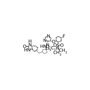 CC(C)N(C)S(=O)(=O)c1cc(F)ccc1Oc1cncnc1N1CCC2(CCC(Cc3ccc4[nH]c(=O)[nH]c4c3)C2)N1